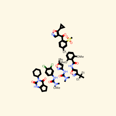 CCC(C)(CC)c1cc(NC(=O)c2c(OC)cccc2OC)on1.CN(C)C(=O)Nc1cc(C(C)(C)C)on1.CON(C)C(=O)Nc1ccc(Cl)c(Cl)c1.CS(=O)(=O)c1cc(C(F)(F)F)ccc1C(=O)c1cnoc1C1CC1.O=c1[nH]c2c(c(=O)n1C1CCCCC1)CCC2